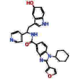 O=C(NC(Cc1c[nH]c2ccc(O)cc12)c1ccncc1)c1ccc2c(c1)nc(-c1ccoc1)n2C1CCCCC1